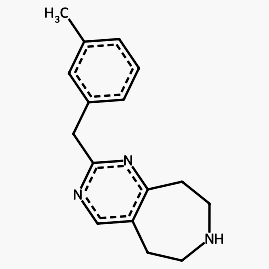 Cc1cccc(Cc2ncc3c(n2)CCNCC3)c1